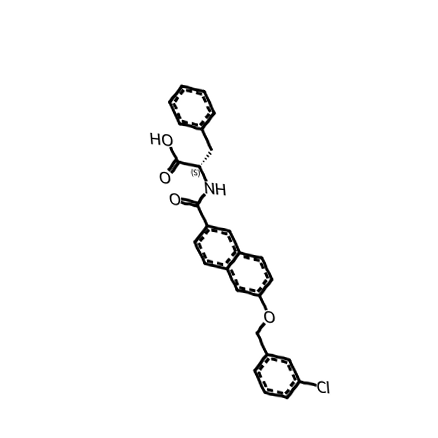 O=C(N[C@@H](Cc1ccccc1)C(=O)O)c1ccc2cc(OCc3cccc(Cl)c3)ccc2c1